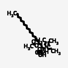 CCCCCCCCCCCCCCCCC(CC(C[N+](CCC)(CCC)CCC)OP(=O)(O)O)OC(C)=O